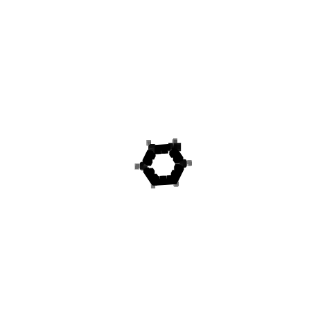 c1coo[nH]o1